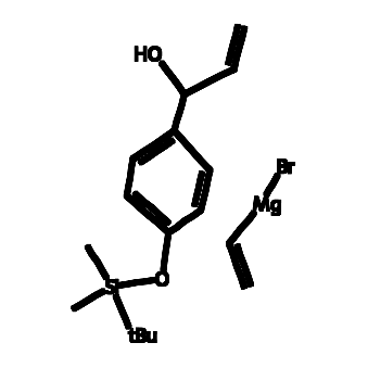 C=CC(O)c1ccc(O[Si](C)(C)C(C)(C)C)cc1.C=[CH][Mg][Br]